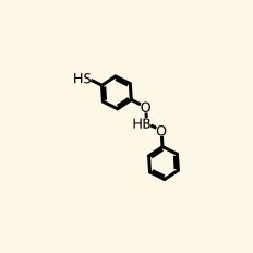 Sc1ccc(OBOc2ccccc2)cc1